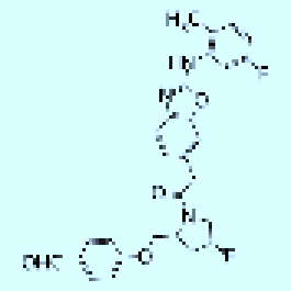 Cc1ccc(F)cc1Nc1nc2ccc(CC(=O)N3C[C@@H](F)C[C@H]3COc3ccc(C=O)cc3)cc2o1